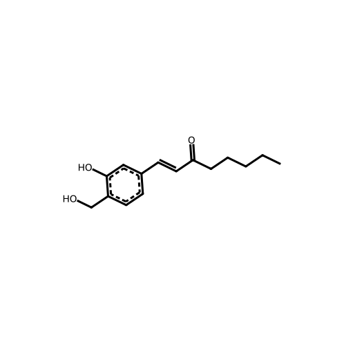 CCCCCC(=O)/C=C/c1ccc(CO)c(O)c1